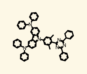 Cc1cc(-n2c3ccc(N(c4ccccc4)c4ccccc4)cc3c3cc(N(c4ccccc4)c4ccccc4)ccc32)cc(C)c1-c1nc(-c2ccccc2)nc(C2C=CC=CC2)n1